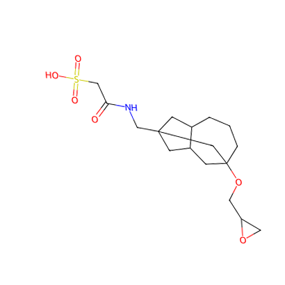 O=C(CS(=O)(=O)O)NCC12CC3CCCC(OCC4CO4)(CC3C1)C2